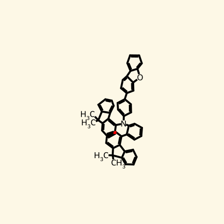 CC1(C)c2ccccc2-c2c(-c3ccccc3N(c3ccc(-c4ccc5c(c4)oc4ccccc45)cc3)c3cccc4c3-c3ccccc3C4(C)C)cccc21